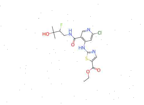 CCOC(=O)c1cnc(Nc2cc(Cl)ncc2C(=O)NCC(F)C(C)(C)O)s1